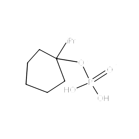 CC(C)C1(OP(=O)(O)O)CCCCC1